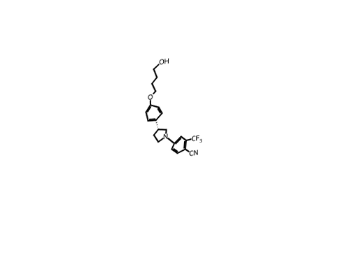 N#Cc1ccc(N2CC[C@H](c3ccc(OCCCCO)cc3)C2)cc1C(F)(F)F